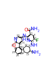 NC(=O)c1cc(F)c(N[C@H]2CCCC[C@H]2N)nc1Nc1cnc2oc3ccccc3c2c1